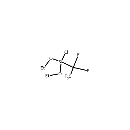 CCO[Si](Cl)(OCC)C(F)(F)C(F)(F)F